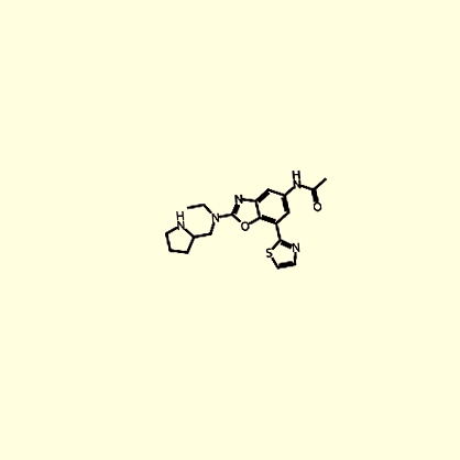 CCN(CC1CCCN1)c1nc2cc(NC(C)=O)cc(-c3nccs3)c2o1